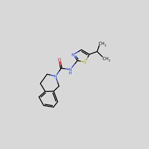 CC(C)c1cnc(NC(=O)N2CCc3ccccc3C2)s1